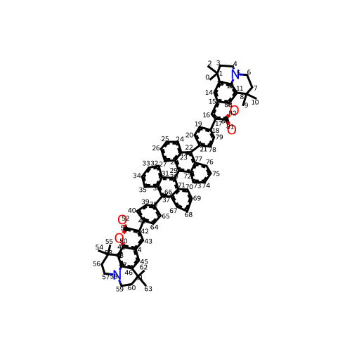 CC1(C)CCN2CCC(C)(C)c3c2c1cc1cc(-c2ccc(-c4c5ccccc5c(-c5c6ccccc6c(-c6ccc(-c7cc8cc9c%10c(c8oc7=O)C(C)(C)CCN%10CCC9(C)C)cc6)c6ccccc56)c5ccccc45)cc2)c(=O)oc31